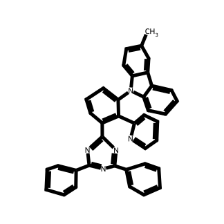 Cc1ccc2c(c1)c1ccccc1n2-c1cccc(-c2nc(-c3ccccc3)nc(-c3ccccc3)n2)c1-c1ccccn1